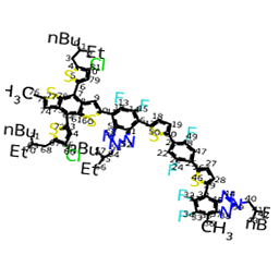 CCCCC(CC)Cc1sc(-c2c3cc(-c4c(F)c(F)c(-c5ccc(-c6cc(F)c(-c7ccc(-c8c(F)c(F)c(C)c9nn(CC(CC)CCCC)nc89)s7)cc6F)s5)c5nn(CC(CC)CCCC)nc45)sc3c(-c3cc(Cl)c(CC(CC)CCCC)s3)c3cc(C)sc23)cc1Cl